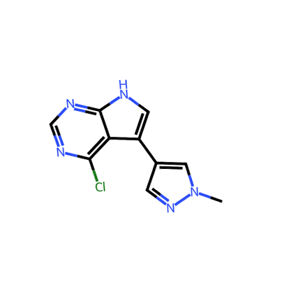 Cn1cc(-c2c[nH]c3ncnc(Cl)c23)cn1